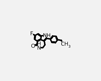 CCc1ccc(-c2[nH]c3cc(F)cc4c3c2CCNC4=O)cc1